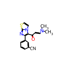 CN(C)/C=C/C(=O)c1c(-c2cccc(C#N)c2)nc2sccn12